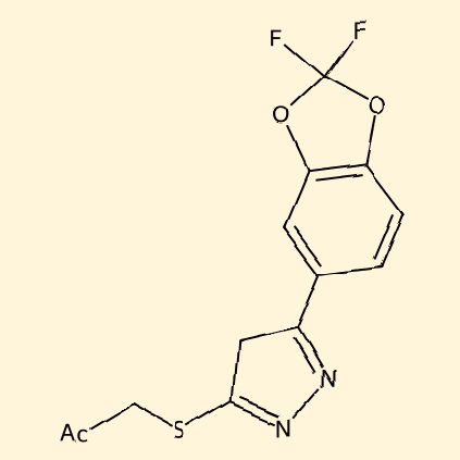 CC(=O)CSC1=NN=C(c2ccc3c(c2)OC(F)(F)O3)C1